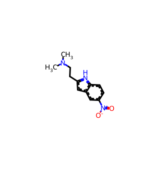 CN(C)CCc1cc2cc([N+](=O)[O-])ccc2[nH]1